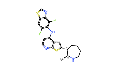 C[C@@H]1NCCCC[C@H]1c1cc2c(Nc3c(F)cc4scnc4c3F)ccnc2s1